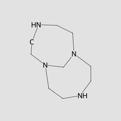 C1CN2CCNCCN(CCN1)C2